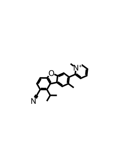 Cc1cc2c(cc1-c1cccc[n+]1C)oc1ccc(C#N)c(C(C)C)c12